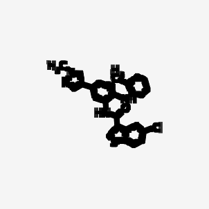 Cc1ccccc1Nc1ncc(-c2cnn(C)c2)cc1NC(=O)c1csc2ccc(Cl)cc12